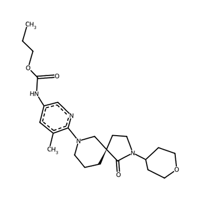 CCCOC(=O)Nc1cnc(N2CCC[C@]3(CCN(C4CCOCC4)C3=O)C2)c(C)c1